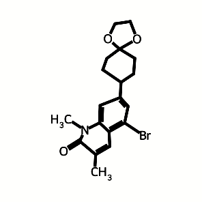 Cc1cc2c(Br)cc(C3CCC4(CC3)OCCO4)cc2n(C)c1=O